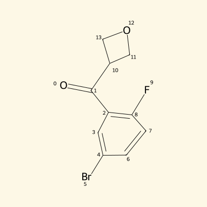 O=C(c1cc(Br)ccc1F)C1COC1